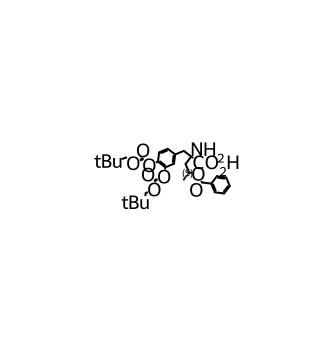 C[C@@H](CC(N)(Cc1ccc(OC(=O)OCC(C)(C)C)c(OC(=O)OCC(C)(C)C)c1)C(=O)O)OC(=O)c1ccccc1